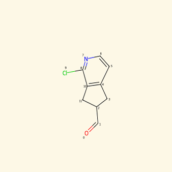 O=CC1Cc2ccnc(Cl)c2C1